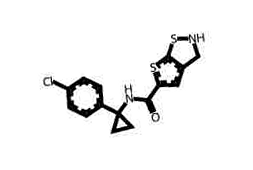 O=C(NC1(c2ccc(Cl)cc2)CC1)c1cc2c(s1)SNC2